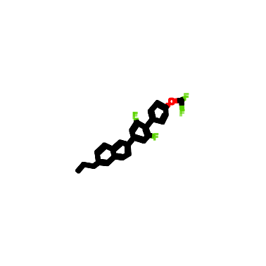 CCCc1ccc2cc(-c3cc(F)c(-c4ccc(OC(F)F)cc4)c(F)c3)ccc2c1